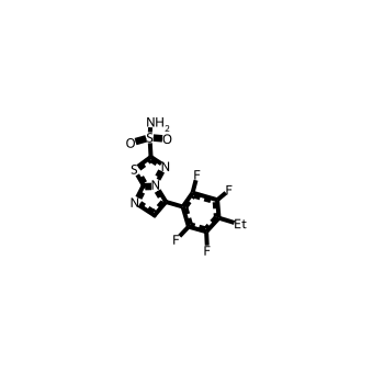 CCc1c(F)c(F)c(-c2cnc3sc(S(N)(=O)=O)nn23)c(F)c1F